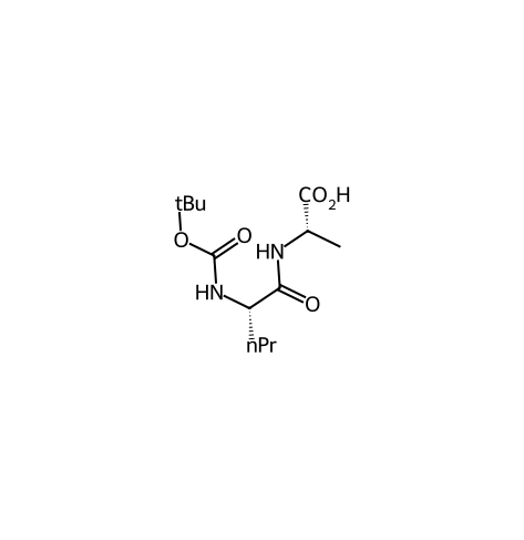 CCC[C@H](NC(=O)OC(C)(C)C)C(=O)N[C@@H](C)C(=O)O